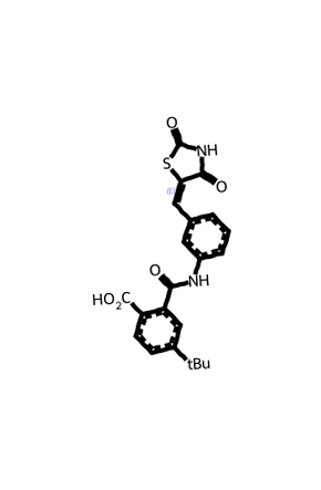 CC(C)(C)c1ccc(C(=O)O)c(C(=O)Nc2cccc(/C=C3/SC(=O)NC3=O)c2)c1